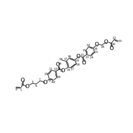 C=CC(=O)OCCCOc1ccc(C(=O)Oc2ccc(OC(=O)c3ccc(OCOC(=O)C=C)cc3)cc2C)cc1